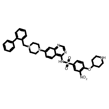 O=[N+]([O-])c1cc(S(=O)(=O)Nc2ncnc3cc(N4CCN(Cc5ccccc5-c5ccccc5)CC4)ccc23)ccc1OC1CCNCC1